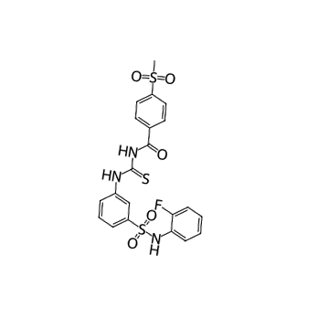 CS(=O)(=O)c1ccc(C(=O)NC(=S)Nc2cccc(S(=O)(=O)Nc3ccccc3F)c2)cc1